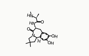 CN[C@@H](C)C(=O)N[C@H]1Cc2cc(O)c(O)cc2[C@H]2CC(C)(C)CN2C1=O